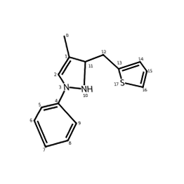 CC1=CN(c2ccccc2)NC1Cc1cccs1